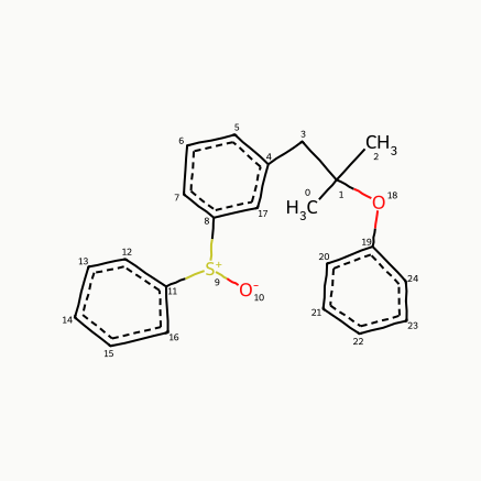 CC(C)(Cc1cccc([S+]([O-])c2ccccc2)c1)Oc1ccccc1